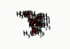 CC(C)(C)c1cc(CCCSCCC(=O)OCC(COC(=O)CCSCCCc2cc(C(C)(C)C)cc(C(C)(C)C)c2O)(COC(=O)CCSCCCc2cc(C(C)(C)C)cc(C(C)(C)C)c2O)COC(=O)CCSCCCc2cc(C(C)(C)C)cc(C(C)(C)C)c2O)c(O)c(C(C)(C)C)c1